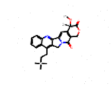 CC[C@@]1(OC(C)C)C(=O)OCc2c1cc1n(c2=O)Cc2c-1nc1ccccc1c2CC[Si](C)(C)C